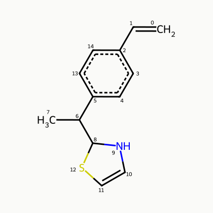 C=Cc1ccc(C(C)C2NC=CS2)cc1